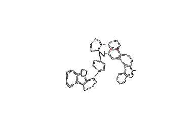 c1ccc(-c2ccccc2N(c2ccc(-c3cccc4c3oc3ccccc34)cc2)c2ccc3ccc4sc5ccccc5c4c3c2)cc1